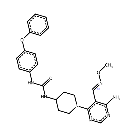 CO/N=C/c1c(N)ncnc1N1CCC(NC(=O)Nc2ccc(Oc3ccccc3)cc2)CC1